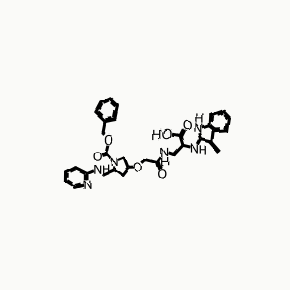 C=C1c2ccccc2NC1NC(CNC(=O)COC1CC(CNc2ccccn2)N(C(=O)OCc2ccccc2)C1)C(=O)O